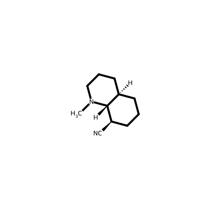 CN1CCC[C@H]2CCC[C@@H](C#N)[C@@H]21